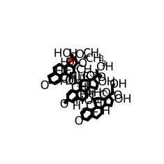 CC1(C)O[C@@H]2C[C@H]3[C@@H]4CCC5=CC(=O)C=C[C@]5(C)[C@@]4(F)[C@@H](O)C[C@]3(C)[C@]2(C(=O)CO)O1.C[C@]12C=CC(=O)C=C1CC[C@H]1[C@@H]3C[C@@H](O)[C@](O)(C(=O)CO)[C@@]3(C)C[C@H](O)[C@@]12F.C[C@]12C=CC(=O)C=C1CC[C@H]1[C@@H]3C[C@@H](O)[C@](O)(C(=O)CO)[C@@]3(C)C[C@H](O)[C@@]12F